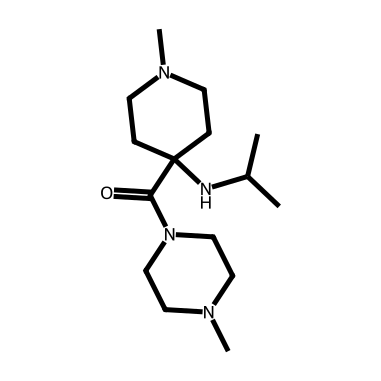 CC(C)NC1(C(=O)N2CCN(C)CC2)CCN(C)CC1